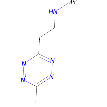 Cc1nnc(CCNC(C)C)nn1